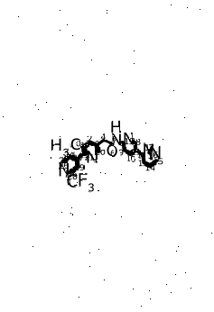 Cc1cc(CC(=O)Nc2ccc(-c3cccnn3)cn2)cnc1-c1ccnc(C(F)(F)F)c1